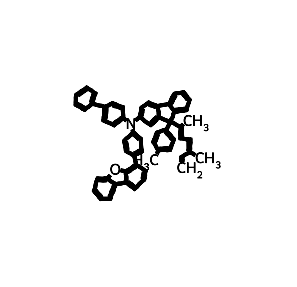 C=C/C(C)=C\C=C(/C)C1(c2ccc(C)cc2)c2ccccc2-c2ccc(N(c3ccc(-c4ccccc4)cc3)c3ccc(-c4cccc5c4oc4ccccc45)cc3)cc21